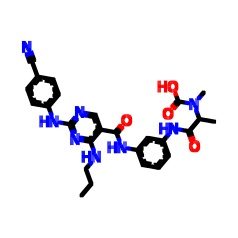 CCCNc1nc(Nc2ccc(C#N)cc2)ncc1C(=O)Nc1cccc(NC(=O)C(C)N(C)C(=O)O)c1